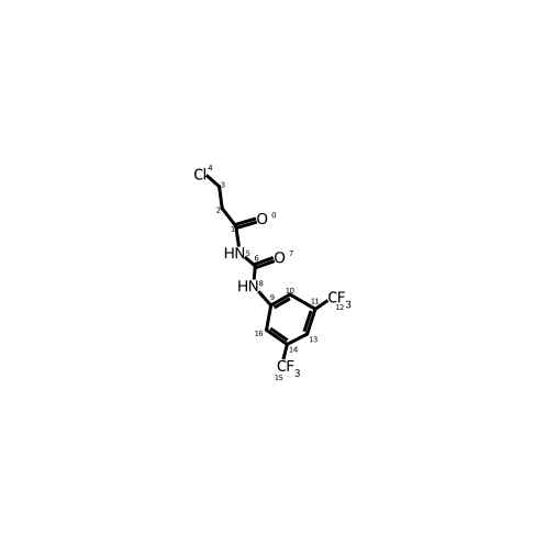 O=C(CCCl)NC(=O)Nc1cc(C(F)(F)F)cc(C(F)(F)F)c1